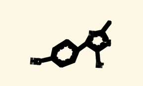 Cc1nc(-c2ccc(O)cc2)c(Br)s1